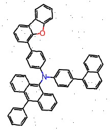 c1ccc(-c2c3ccccc3c(N(c3ccc(-c4cccc5ccccc45)cc3)c3ccc(-c4cccc5c4oc4ccccc45)cc3)c3ccccc23)cc1